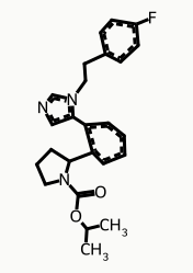 CC(C)OC(=O)N1CCCC1c1ccccc1-c1cncn1CCc1ccc(F)cc1